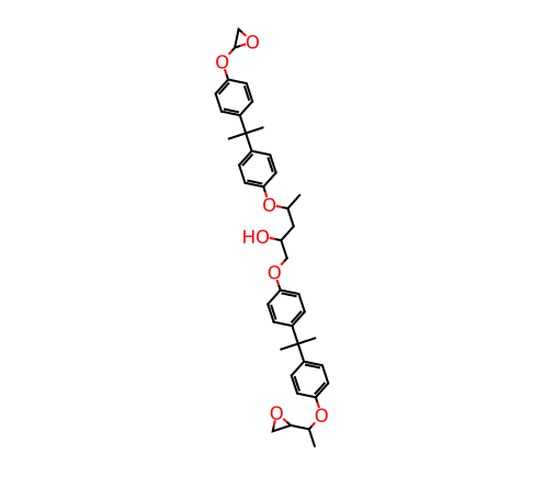 CC(CC(O)COc1ccc(C(C)(C)c2ccc(OC(C)C3CO3)cc2)cc1)Oc1ccc(C(C)(C)c2ccc(OC3CO3)cc2)cc1